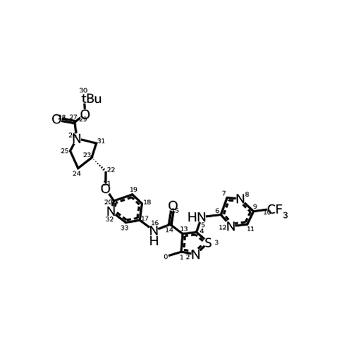 Cc1nsc(Nc2cnc(C(F)(F)F)cn2)c1C(=O)Nc1ccc(OC[C@@H]2CCN(C(=O)OC(C)(C)C)C2)nc1